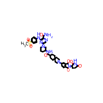 CS(=O)(=O)c1ccc(Nc2nc(N3CCCC(NC(=O)C4CCC5(CC4)CCN(c4ccc6c(c4)C(=O)N(C4CCC(=O)NC4=O)C6=O)CC5)C3)cnc2C(N)=O)cc1